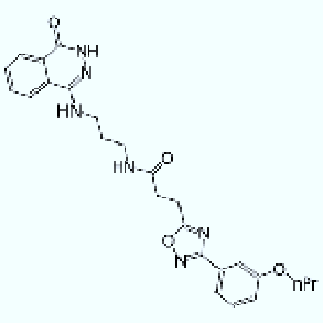 CCCOc1cccc(-c2noc(CCC(=O)NCCCNc3n[nH]c(=O)c4ccccc34)n2)c1